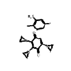 Bc1cc(F)ccc1C.O=C1C=C(N2CC2)C(=O)C(N2CC2)=C1N1CC1